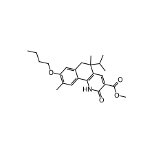 CCCCOc1cc2c(cc1C)-c1[nH]c(=O)c(C(=O)OC)cc1C(C)(C(C)C)C2